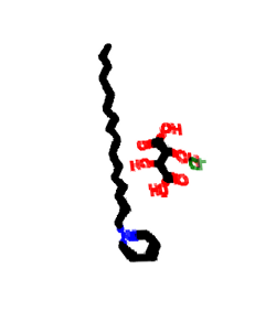 CCCCCCCCCCCCCCCC[n+]1ccccc1.O=C(O)C(O)C(O)C(=O)O.[Cl-]